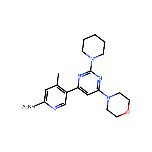 CC(=O)Nc1cc(C)c(-c2cc(N3CCOCC3)nc(N3CCCCC3)n2)cn1